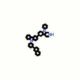 C1=Cc2c3c(n(-c4ccccc4)c2CN1)C=CC(c1ccc2c(c1)c1ccccc1n2-c1cccc(-c2ccc4ccccc4c2)c1)C3